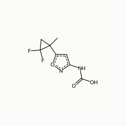 CC1(c2cc(NC(=O)O)no2)CC1(F)F